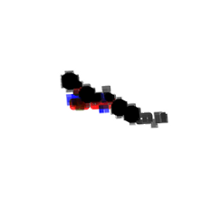 CCOC(=O)c1ccc(-c2ccc(OC[C@@H](C)NC[C@H](O)c3ccc(OCc4ccccc4)c(NS(C)(=O)=O)c3)cc2)cc1